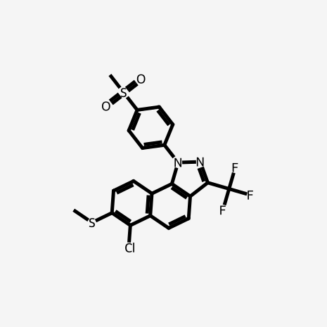 CSc1ccc2c(ccc3c(C(F)(F)F)nn(-c4ccc(S(C)(=O)=O)cc4)c32)c1Cl